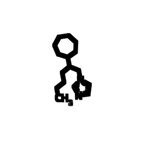 CCCCC(Cn1ccnc1)C1CCCCCC1